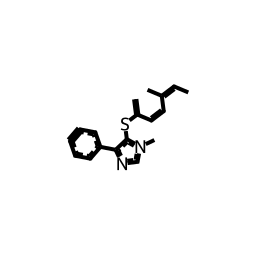 C=C(/C=C\C(C)=C/C)Sc1c(-c2cc#ccc2)ncn1C